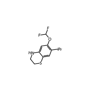 CC(C)c1cc2c(cc1OC(F)F)NCCS2